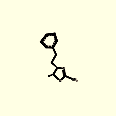 C[C@@H]1OC(N)=N[C@@H]1CCc1ccccc1